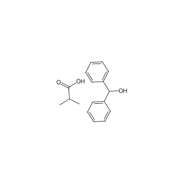 CC(C)C(=O)O.OC(c1ccccc1)c1ccccc1